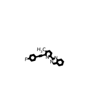 Cc1ccc(-c2ncc3ccccc3n2)nc1C#Cc1ccc(F)cc1